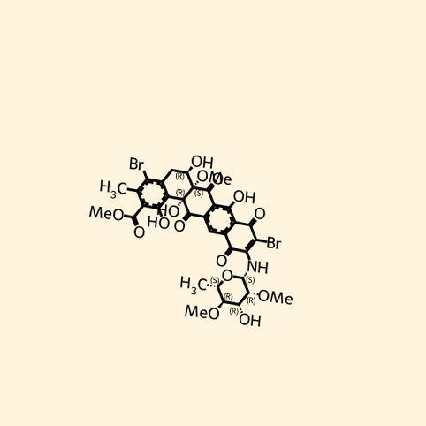 COC(=O)c1c(C)c(Br)c2c(c1O)[C@]1(O)C(=O)c3cc4c(c(O)c3C(=O)[C@]1(OC)[C@H](O)C2)C(=O)C(Br)=C(N[C@H]1O[C@@H](C)[C@H](OC)[C@@H](O)[C@H]1OC)C4=O